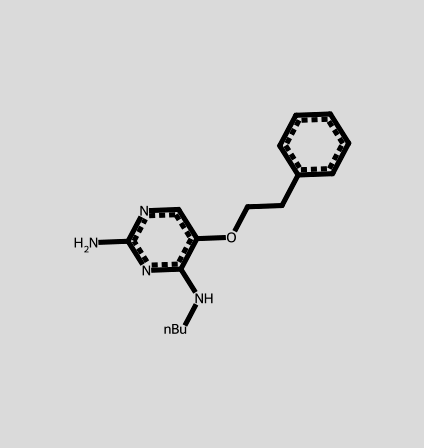 CCCCNc1nc(N)ncc1OCCc1ccccc1